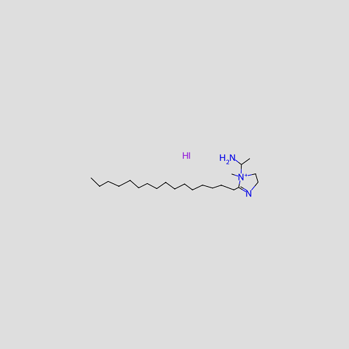 CCCCCCCCCCCCCCCCC1=NCC[N+]1(C)C(C)N.I